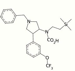 C[Si](C)(C)CCN(C(=O)O)C1CN(Cc2ccccc2)CC1c1cccc(OC(F)(F)F)c1